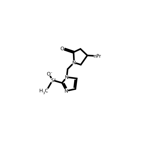 CCCC1CC(=O)N(Cn2ccnc2[S+](C)[O-])C1